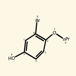 CCCOc1ccc(O)cc1Br